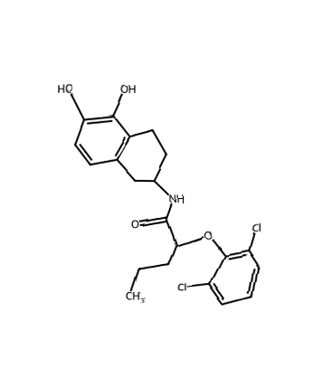 CCCC(Oc1c(Cl)cccc1Cl)C(=O)NC1CCc2c(ccc(O)c2O)C1